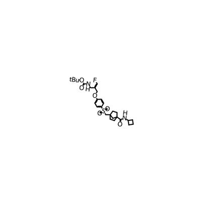 CC(C)(C)OC(=O)NC/C(=C\F)COc1ccc(S(=O)(=O)CC23CCC(C(=O)NC4CCC4)(CC2)C3)cc1